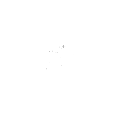 CCC1=CC(CCOC)C(CC)(C(=O)O)C=C1